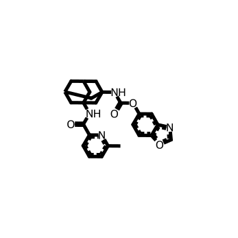 Cc1cccc(C(=O)NC23CC4CC(CC(NC(=O)Oc5ccc6ocnc6c5)(C4)C2)C3)n1